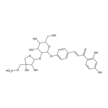 O=C(C=Cc1ccc(OC2OC(CO)C(O)C(O)C2OC2OCC(O)(COS(=O)(=O)O)C2O)cc1)c1ccc(O)cc1O